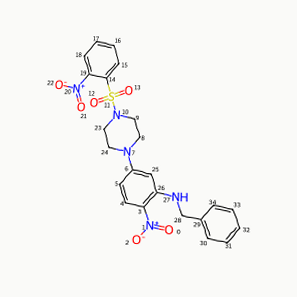 O=[N+]([O-])c1ccc(N2CCN(S(=O)(=O)c3ccccc3[N+](=O)[O-])CC2)cc1NCc1ccccc1